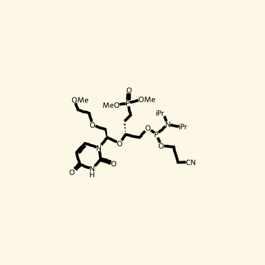 COCCOC[C@@H](O[C@H](CCP(=O)(OC)OC)COP(OCCC#N)N(C(C)C)C(C)C)n1ccc(=O)[nH]c1=O